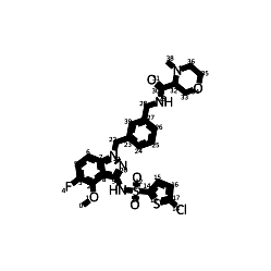 COc1c(F)ccc2c1c(NS(=O)(=O)c1ccc(Cl)s1)nn2Cc1cccc(CNC(=O)C2COCCN2C)c1